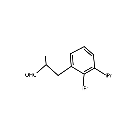 CC(C=O)Cc1cccc(C(C)C)c1C(C)C